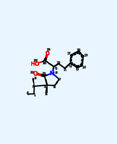 CC[C@@H](C)[C@@]1(C)CCN(C(CCc2ccccc2)C(=O)O)C1=O